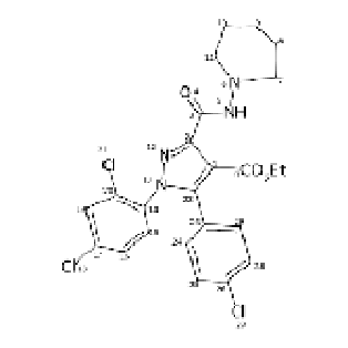 CCOC(=O)c1c(C(=O)NN2CCCCC2)nn(-c2ccc(Cl)cc2Cl)c1-c1ccc(Cl)cc1